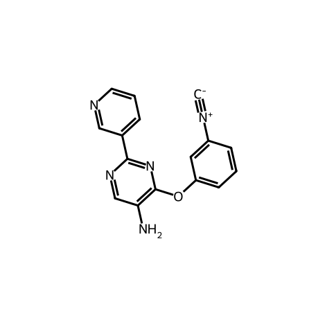 [C-]#[N+]c1cccc(Oc2nc(-c3cccnc3)ncc2N)c1